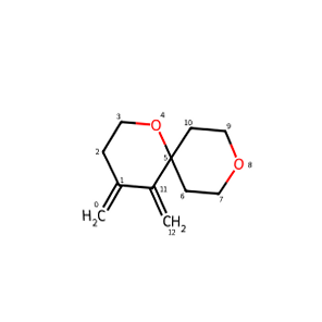 C=C1CCOC2(CCOCC2)C1=C